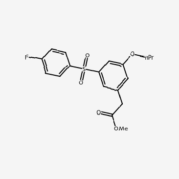 CCCOc1cc(CC(=O)OC)cc(S(=O)(=O)c2ccc(F)cc2)c1